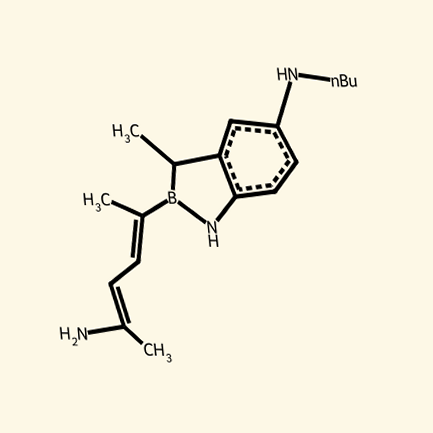 CCCCNc1ccc2c(c1)C(C)B(/C(C)=C/C=C(\C)N)N2